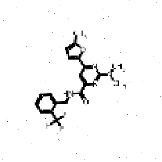 Cc1ccc(-c2cc(C(=O)NCc3ccccc3C(F)(F)F)nc(N(C)C)n2)o1